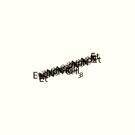 CCN(CC)c1ccc(N=Nc2ccc(N=Nc3ccc(-c4ccc(N=Nc5ccc(N=Nc6ccc(N(CC)CC)cc6)cc5)cc4C)c(C)c3)cc2)cc1